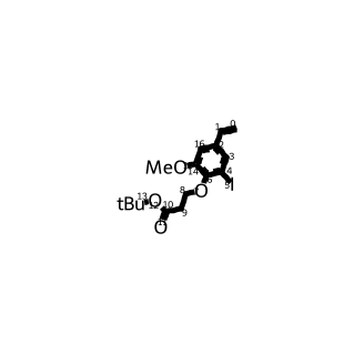 C=Cc1cc(I)c(OCCC(=O)OC(C)(C)C)c(OC)c1